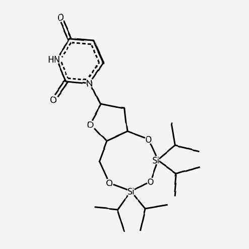 CC(C)[Si]1(C(C)C)OCC2OC(n3ccc(=O)[nH]c3=O)CC2O[Si](C(C)C)(C(C)C)O1